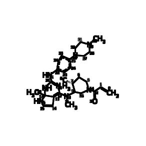 C=CC(=O)N1CC[C@@H](C)C(N(C)C2=C3C=CNC3(C)NC(Nc3ccc(N4CCN(C)CC4)cc3)=N2)C1